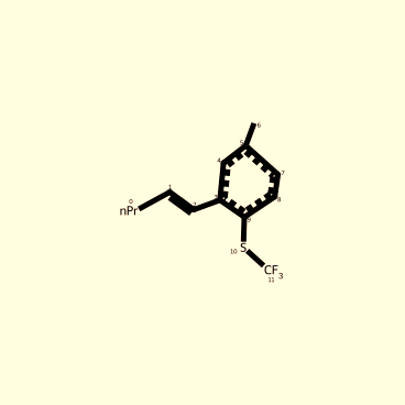 CCC/C=C/c1cc(C)ccc1SC(F)(F)F